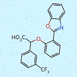 O=C(O)C(Oc1ccccc1-c1nc2ccccc2o1)c1cccc(C(F)(F)F)c1